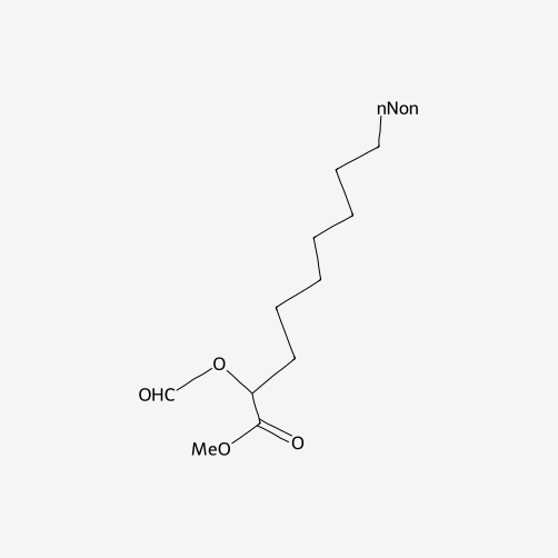 CCCCCCCCCCCCCCCCC(OC=O)C(=O)OC